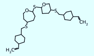 C=CC1CCC(CSC2CCOC(SC3CCC(SCC4CCC(C=C)CC4)CO3)CC2)CC1